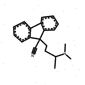 CC(CCC1(C#N)c2ccccc2-c2ccccc21)N(C)C